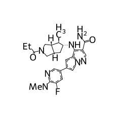 CCC(=O)N1C[C@H]2C[C@@H](Nc3c(C(N)=O)cnn4cc(-c5cnc(NC)c(F)c5)cc34)[C@H](C)[C@H]2C1